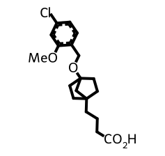 COc1cc(Cl)ccc1COC12CCC(CCCC(=O)O)(CC1)C2